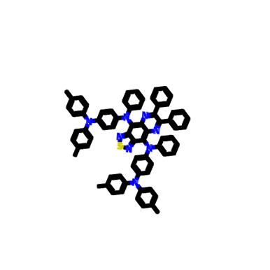 Cc1ccc(N(c2ccc(C)cc2)c2ccc(N(c3ccccc3)c3c4nsnc4c(N(c4ccccc4)c4ccc(N(c5ccc(C)cc5)c5ccc(C)cc5)cc4)c4nc(-c5ccccc5)c(-c5ccccc5)nc34)cc2)cc1